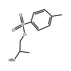 CCCCC(C)COS(=O)(=O)c1ccc(C)cc1